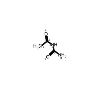 NC(=O)NC(=O)[SiH3]